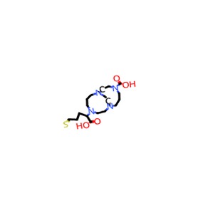 O=C(O)C(CCC=S)N1CCCN2CCN(CCCN(C(=O)O)CC2)CC1